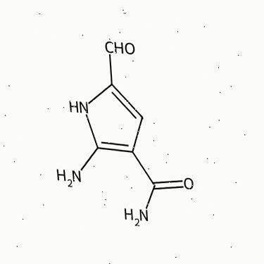 NC(=O)c1cc(C=O)[nH]c1N